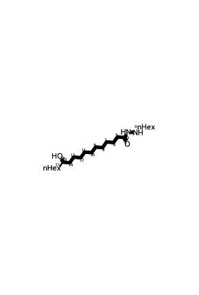 CCCCCCNNC(=O)CCCCCCCCCC[C@H](O)CCCCCC